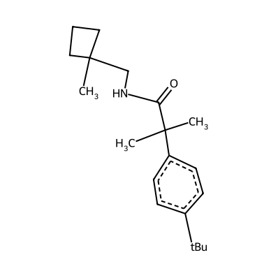 CC1(CNC(=O)C(C)(C)c2ccc(C(C)(C)C)cc2)CCC1